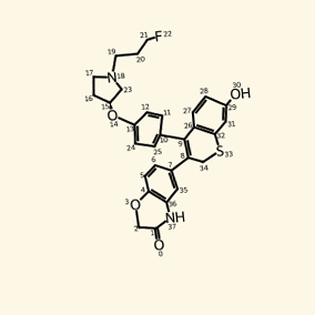 O=C1COc2ccc(C3=C(c4ccc(O[C@H]5CCN(CCCF)C5)cc4)c4ccc(O)cc4SC3)cc2N1